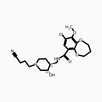 COc1c(Cl)cc(C(=O)NC[C@@H]2CCN(CCCC#N)C[C@H]2O)c2c1OCCCO2